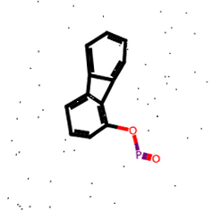 O=POc1cccc2c1-c1ccccc1-2